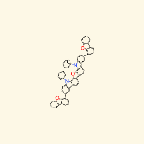 c1ccc(-n2c3ccc(-c4cccc5c4oc4ccccc45)cc3c3ccc4c5ccc6c7cc(-c8cccc9c8oc8ccccc89)ccc7n(-c7ccccc7)c6c5oc4c32)cc1